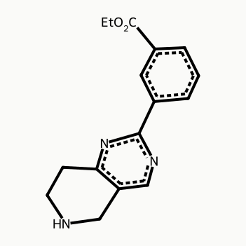 CCOC(=O)c1cccc(-c2ncc3c(n2)CCNC3)c1